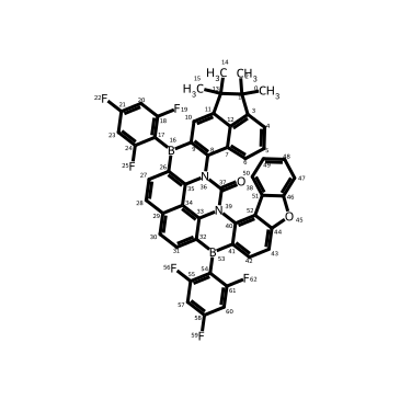 CC1(C)c2cccc3c4c(cc(c23)C1(C)C)B(c1c(F)cc(F)cc1F)c1ccc2ccc3c5c2c1N4C(=O)N5c1c(ccc2oc4ccccc4c12)B3c1c(F)cc(F)cc1F